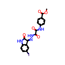 COC(=O)c1ccc(NC(=O)C(=O)N/N=C2\C(=O)Nc3ccc(I)cc32)cc1